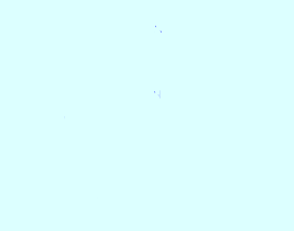 C#C[C@@H]1CNC[C@H](C)N1CCOC